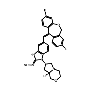 N#C/N=c1\[nH]c2cc(/C=C3\c4ccc(F)cc4COc4cc(F)ccc43)ccc2n1[C@@H]1C[C@H]2COCCN2C1